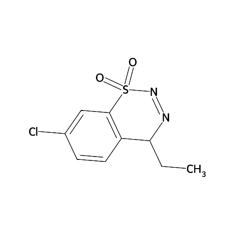 CCC1N=NS(=O)(=O)c2cc(Cl)ccc21